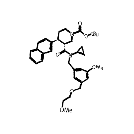 COCCOCc1cc(CN(C(=O)[C@H]2CN(C(=O)OC(C)(C)C)CC[C@@H]2c2ccc3ccccc3c2)C2CC2)cc(OC)c1